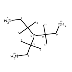 CC(C)(CN)P(C(C)(C)CN)C(C)(C)CN